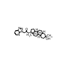 C[C@@]1(O)CC[C@H]2[C@H](CC[C@@H]3[C@@H]2CC[C@]2(C)[C@@H](CC(=O)Cn4nnc5cccnc54)CC[C@@H]32)C1